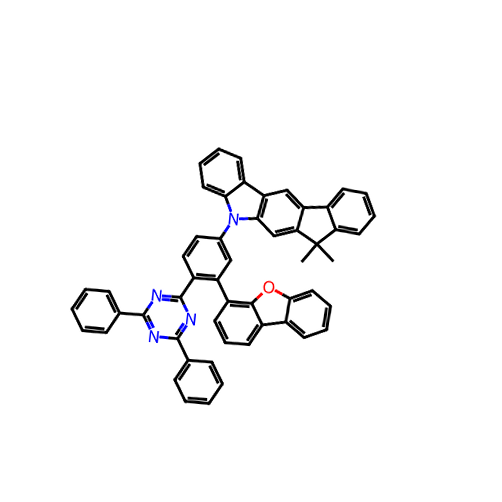 CC1(C)c2ccccc2-c2cc3c4ccccc4n(-c4ccc(-c5nc(-c6ccccc6)nc(-c6ccccc6)n5)c(-c5cccc6c5oc5ccccc56)c4)c3cc21